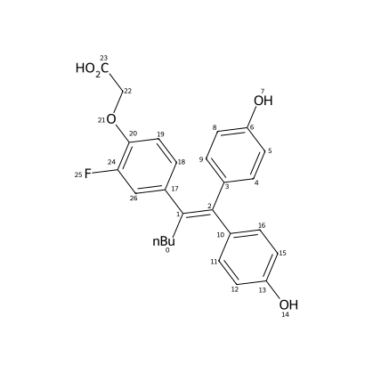 CCCCC(=C(c1ccc(O)cc1)c1ccc(O)cc1)c1ccc(OCC(=O)O)c(F)c1